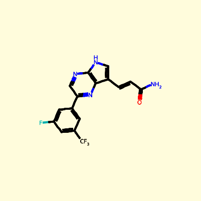 NC(=O)C=Cc1c[nH]c2ncc(-c3cc(F)cc(C(F)(F)F)c3)nc12